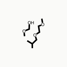 COCCOCC(C)C.COCO